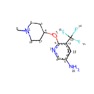 CN1CCC(Oc2ncc(N)cc2C(F)(F)F)CC1